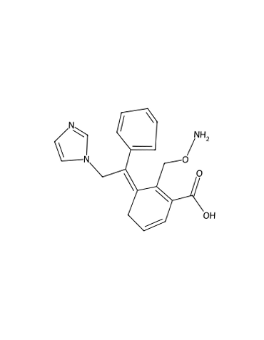 NOCC1=C(C(=O)O)C=CCC1=C(Cn1ccnc1)c1ccccc1